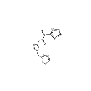 O=C(Cc1cc(Cc2ccccn2)co1)C(=O)c1nn[nH]n1